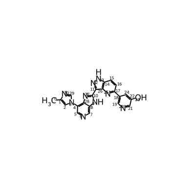 Cc1cn(-c2cncc3[nH]c(-c4n[nH]c5ccc(-c6cncc(O)c6)nc45)nc23)cn1